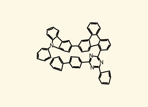 c1ccc(-c2ccc(-c3nc(-c4ccccc4)nc(-c4cccc5c6ccccc6c6cc(-c7ccc8c(c7)c7ccccc7n8-c7ccccc7)ccc6c45)n3)cc2)cc1